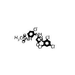 CS(=O)(=O)Nc1ccc(Cl)c(NC2=NN(c3c(Cl)cc(Cl)cc3Cl)C(=O)C2)c1